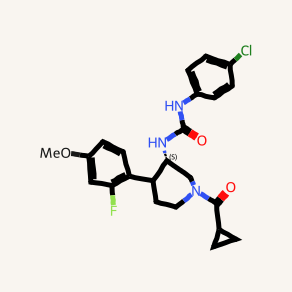 COc1ccc(C2CCN(C(=O)C3CC3)C[C@H]2NC(=O)Nc2ccc(Cl)cc2)c(F)c1